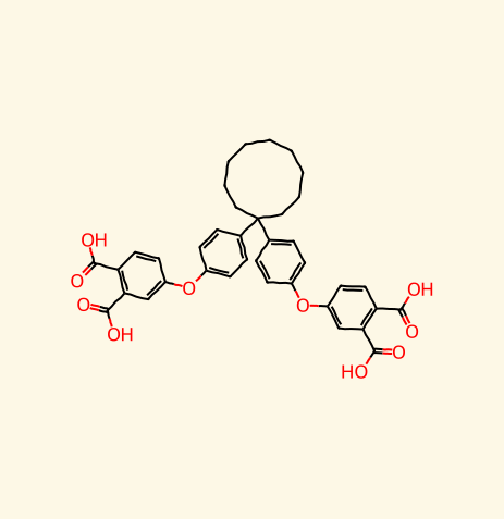 O=C(O)c1ccc(Oc2ccc(C3(c4ccc(Oc5ccc(C(=O)O)c(C(=O)O)c5)cc4)CCCCCCCCC3)cc2)cc1C(=O)O